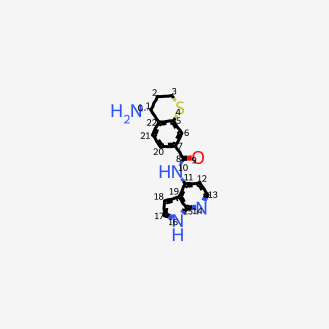 N[C@@H]1CCSc2cc(C(=O)Nc3ccnc4[nH]ccc34)ccc21